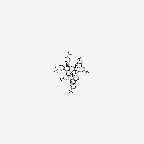 CC(C)(C)c1ccc(N(c2ccc(C(C)(C)C)cc2)c2cc3c4c(c2)N2c5c(cc(C(C)(C)C)cc5C5(C)CCCCC25C)B4c2ccc4c(sc5cc(C(C)(C)C)ccc54)c2N3c2c(-c3ccccc3)cc(C(C)(C)C)cc2-c2ccccc2)cc1